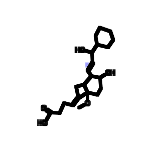 COC12CCC(O)C(/C=C/C(O)C3CCCCC3)C1CC2=CCCC(=O)O